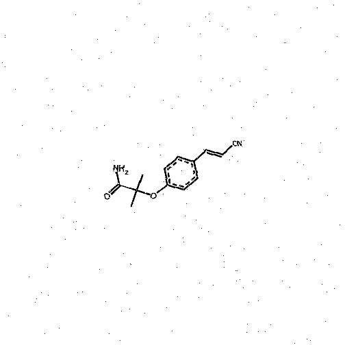 CC(C)(Oc1ccc(C=CC#N)cc1)C(N)=O